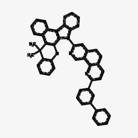 CC1(C)c2ccccc2Oc2c1c1ccccc1c1c3ccccc3n(-c3cc4ccc5ccc(-c6cccc(-c7ccccc7)c6)nc5c4cn3)c21